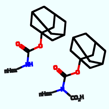 CCCCCCN(C(=O)O)C(=O)OC12CC3CC(CC(C3)C1)C2.CCCCCCNC(=O)OC12CC3CC(CC(C3)C1)C2